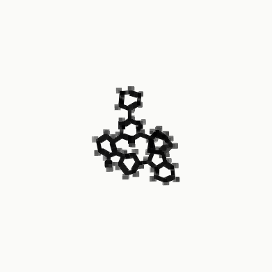 c1ccc(-c2nc(-c3ccccc3)nc(-c3cccc4oc5ccc(C6c7ccccc7-c7ccccc76)cc5c34)n2)cc1